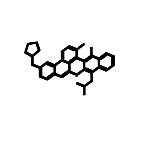 Cc1c2c(c(CC(C)C)c3ccccc13)Sc1cc3ccc(CC4CCCC4)cc3c3cc[n+](C)c-2c13